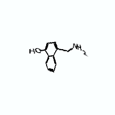 NCc1ccc(O)c2ccccc12